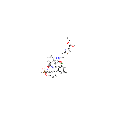 CCOC(=O)c1csc(CCNC(=O)[C@@H]2c3ccccc3C(=O)N([C@H]3CCCC[C@@H]3NS(C)(=O)=O)[C@H]2c2ccc(Cl)cc2Cl)n1